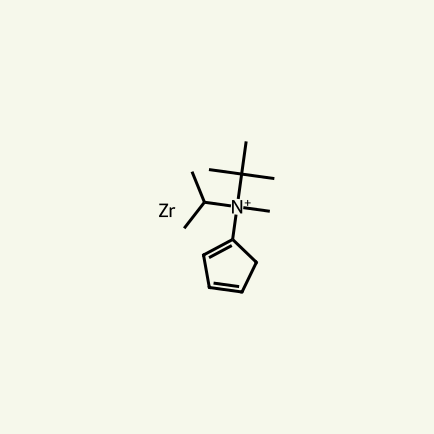 CC(C)[N+](C)(C1=CC=CC1)C(C)(C)C.[Zr]